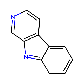 C1=CCC2=Nc3cnccc3C2=C1